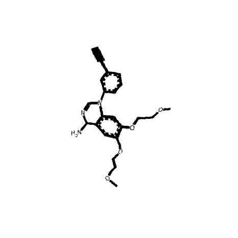 C#Cc1cccc(N2C=NC(N)c3cc(OCCOC)c(OCCOC)cc32)c1